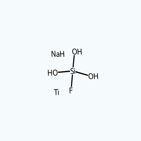 O[Si](O)(O)F.[NaH].[Ti]